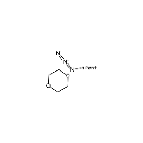 C1COCCO1.CCCCCN=[N+]=[N-]